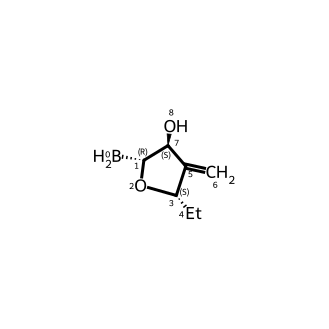 B[C@H]1O[C@@H](CC)C(=C)[C@@H]1O